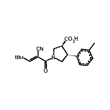 Cc1cccc([C@@H]2CN(C(=O)/C(C#N)=C/C(C)(C)C)C[C@H]2C(=O)O)c1